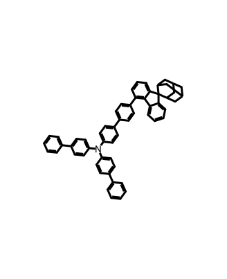 c1ccc(-c2ccc(N(c3ccc(-c4ccccc4)cc3)c3ccc(-c4ccc(-c5cccc6c5-c5ccccc5C65C6CC7CC(C6)CC5C7)cc4)cc3)cc2)cc1